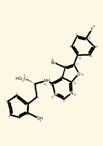 O=C(O)[C@@H](Cc1ccccc1O)Nc1ncnc2oc(-c3ccc(F)cc3)c(Br)c12